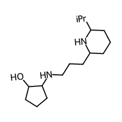 CC(C)C1CCCC(CCCNC2CCCC2O)N1